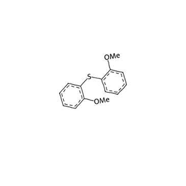 COc1ccccc1Sc1ccccc1OC